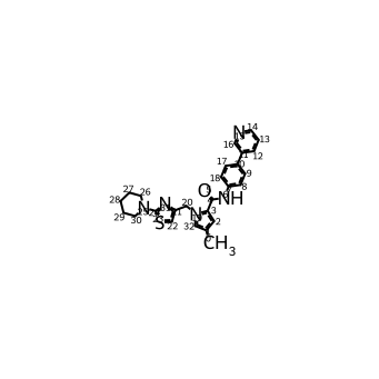 Cc1cc(C(=O)Nc2ccc(-c3cccnc3)cc2)n(Cc2csc(N3CCCCC3)n2)c1